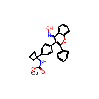 CC(C)(C)OC(=O)NC1(c2ccc(-c3c(-c4ccccc4)oc4ccccc4c3=NO)cc2)CCC1